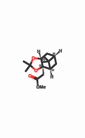 COC(=O)C[C@]12OC(C)(C)O[C@H]1C[C@H]1C[C@@H]2C1(C)C